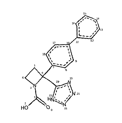 O=C(O)N1CCC1(c1ccc(-c2ccccc2)cc1)c1nnn[nH]1